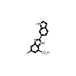 O=C(O)c1cc(F)cc2nc(-c3ccc4cc[nH]c4c3)[nH]c12